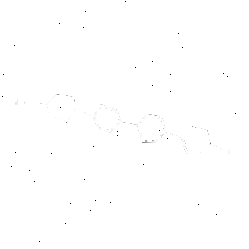 CCCCCCCC1CCC(c2ccc(-c3ccc(C4=CCC(CCC)CC4)cc3)cc2)CC1